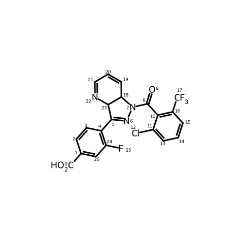 O=C(O)c1ccc(C2=NN(C(=O)c3c(Cl)cccc3C(F)(F)F)C3C=CC=NC23)c(F)c1